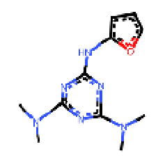 CN(C)c1nc(Nc2ccco2)nc(N(C)C)n1